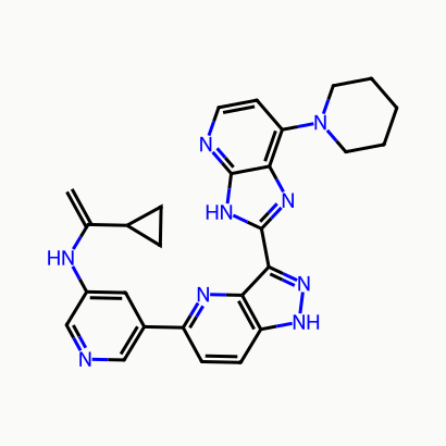 C=C(Nc1cncc(-c2ccc3[nH]nc(-c4nc5c(N6CCCCC6)ccnc5[nH]4)c3n2)c1)C1CC1